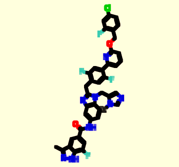 CCn1cncc1Cn1c(Cc2cc(F)c(-c3cccc(OCc4ccc(Cl)cc4F)n3)cc2F)nc2cc(NC(=O)c3cc(F)c4[nH]nc(C)c4c3)ccc21